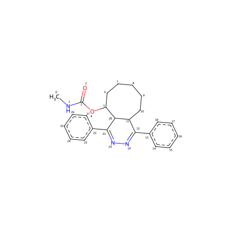 CNC(=O)OC1CCCCCC2C(c3ccccc3)=NN=C(c3ccccc3)C12